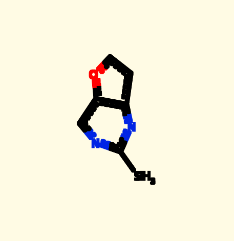 [SiH3]c1ncc2occc2n1